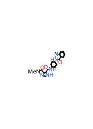 CNC(=O)c1nc[nH]c1C(=O)Nc1ccc(NC(=O)c2ccccc2N(C)C)cc1